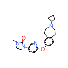 CN1CCN(c2ccc(Oc3ccc4c(c3)CCN(C3CCC3)CC4)nc2)C1=O